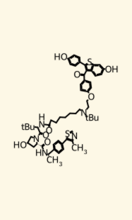 Cc1ncsc1-c1ccc([C@H](C)NC(=O)[C@@H]2C[C@@H](O)CN2C(=O)C(NC(=O)CCCCCCCN(CCOc2ccc(C(=O)c3c(-c4ccc(O)cc4)sc4cc(O)ccc34)cc2)C(C)(C)C)C(C)(C)C)cc1